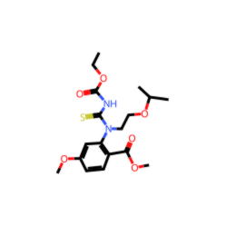 CCOC(=O)NC(=S)N(CCOC(C)C)c1cc(OC)ccc1C(=O)OC